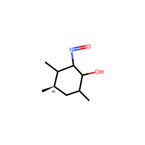 CC1C[C@@H](C)C(C)C(N=O)C1O